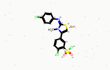 Br.Cn1c(-c2ccc(Cl)c(S(=O)(=O)Cl)c2)cs/c1=N/c1ccc(Cl)cc1